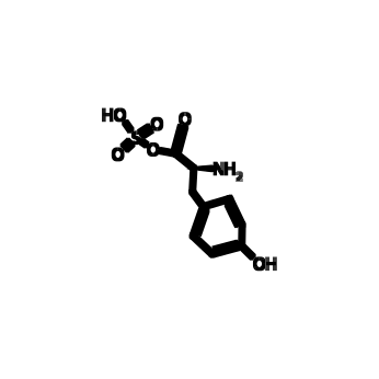 N[C@@H](Cc1ccc(O)cc1)C(=O)OS(=O)(=O)O